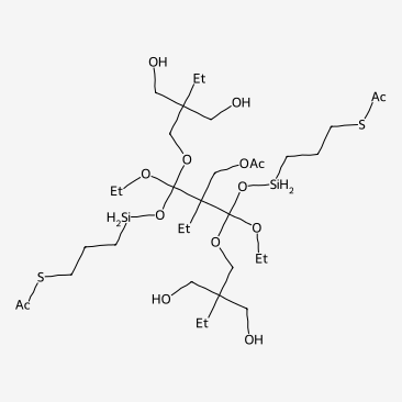 CCOC(OCC(CC)(CO)CO)(O[SiH2]CCCSC(C)=O)C(CC)(COC(C)=O)C(OCC)(OCC(CC)(CO)CO)O[SiH2]CCCSC(C)=O